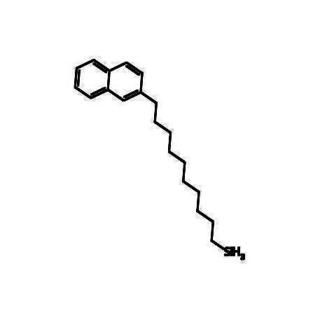 [SiH3]CCCCCCCCCCc1ccc2ccccc2c1